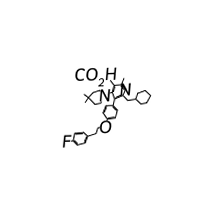 Cc1nc(CC2CCCCC2)c(-c2ccc(OCCc3ccc(F)cc3)cc2)c(N2CCC(C)(C)CC2)c1CC(=O)O